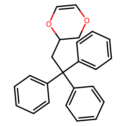 C1=COC(CC(c2ccccc2)(c2ccccc2)c2ccccc2)CO1